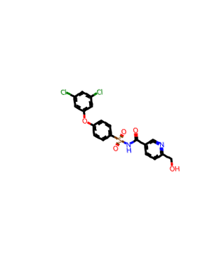 O=C(NS(=O)(=O)c1ccc(Oc2cc(Cl)cc(Cl)c2)cc1)c1ccc(CO)nc1